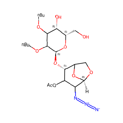 CCCCOC1C(OCCCC)[C@H](O)[C@H](CO)O[C@H]1O[C@@H]1C2CO[C@H](O2)C(N=[N+]=[N-])C1OC(C)=O